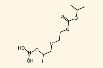 CC(C)OC(=O)OCCOCC(C)ON(O)O